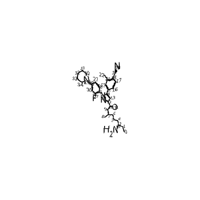 CC[C@H](N)CCCC(C)CC(=O)c1cc(-c2ccc(C#N)c(C)c2)n(-c2ccc(N3CCCCC3)cc2F)n1